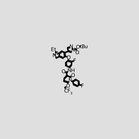 CCn1ncc2cc(Oc3ccc(NC(=O)c4ccc(OCC(F)(F)F)n(-c5ccc(F)cc5)c4=O)cc3F)c(-c3cnn(C(=O)OC(C)(C)C)c3)cc21